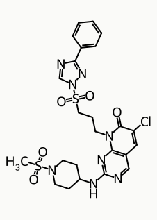 CS(=O)(=O)N1CCC(Nc2ncc3cc(Cl)c(=O)n(CCCS(=O)(=O)n4cnc(-c5ccccc5)n4)c3n2)CC1